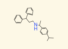 CC(C)c1ccc(C(C)NCCC(c2ccccc2)c2ccccc2)cc1